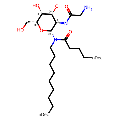 CCCCCCCCCCCCCCCCCCN(C(=O)CCCCCCCCCCCCC)[C@@H]1O[C@H](CO)[C@H](O)[C@H](O)[C@H]1NC(=O)CN